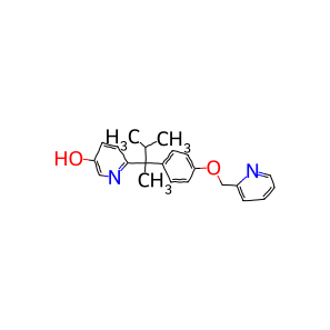 CC(C)C(C)(c1ccc(OCc2ccccn2)cc1)c1ccc(O)cn1